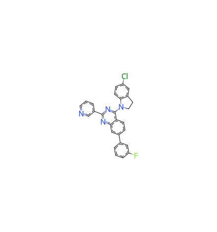 Fc1cccc(-c2ccc3c(N4CCc5cc(Cl)ccc54)nc(-c4cccnc4)nc3c2)c1